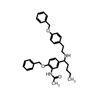 CCCCC(NCCc1ccc(OCc2ccccc2)cc1)c1ccc(OCc2ccccc2)c(NC(C)=O)c1